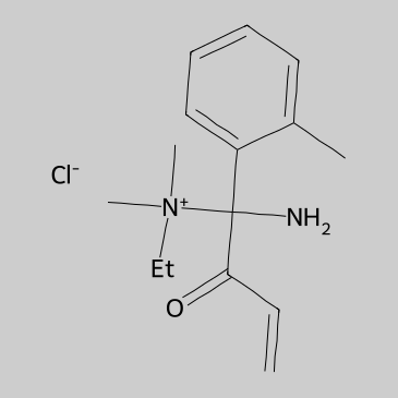 C=CC(=O)C(N)(c1ccccc1C)[N+](C)(C)CC.[Cl-]